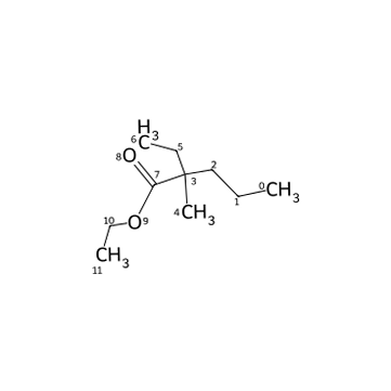 CCCC(C)(CC)C(=O)OCC